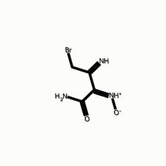 N=C(CBr)/C(=[NH+]/[O-])C(N)=O